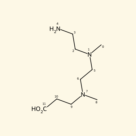 CN(CCN)CCN(C)CCC(=O)O